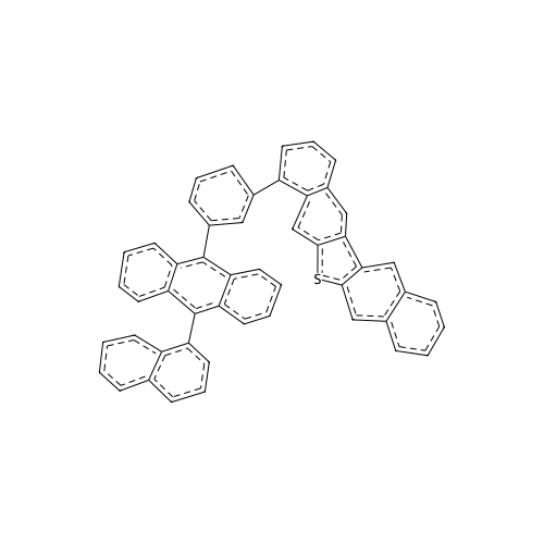 c1cc(-c2cccc3cc4c(cc23)sc2cc3ccccc3cc24)cc(-c2c3ccccc3c(-c3cccc4ccccc34)c3ccccc23)c1